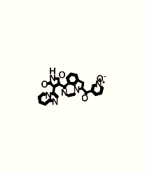 O=C1NC(=O)C(c2cnc3ccccn23)=C1C1=NC=CN2c3c(cccc31)CC2C(=O)c1ccc[n+]([O-])c1